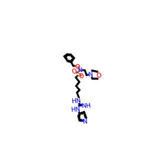 N=C(NCCCCCCS(=O)(=O)N(CCN1CCOCC1)OCc1ccccc1)Nc1ccncc1